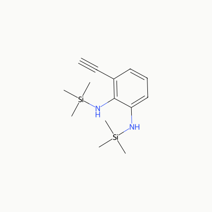 C#Cc1cccc(N[Si](C)(C)C)c1N[Si](C)(C)C